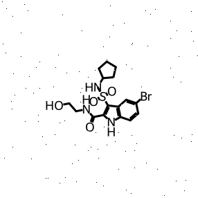 O=C(NCCO)c1[nH]c2ccc(Br)cc2c1S(=O)(=O)NC1CCCC1